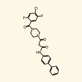 O=C(CC(=O)N1CCN(C(=O)c2cc(F)c(Cl)cc2F)CC1)Nc1ccc(-c2ccccc2)cc1